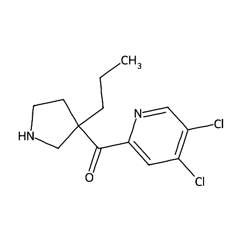 CCCC1(C(=O)c2cc(Cl)c(Cl)cn2)CCNC1